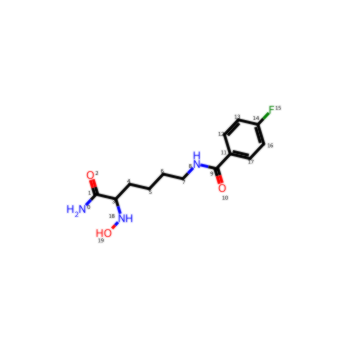 NC(=O)C(CCCCNC(=O)c1ccc(F)cc1)NO